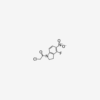 O=C(CCl)N1CCc2c1ccc([N+](=O)[O-])c2F